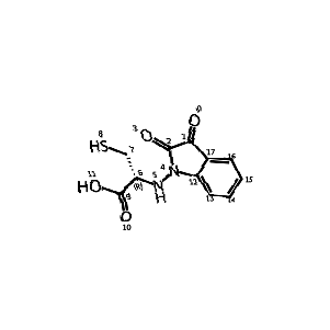 O=C1C(=O)N(N[C@@H](CS)C(=O)O)c2ccccc21